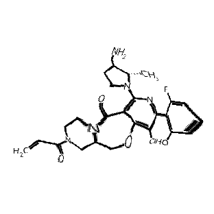 C=CC(=O)N1CCN2C(=O)c3c(N4CCC(N)[C@@H]4C)nc(-c4c(O)cccc4F)c(Cl)c3OCC2C1